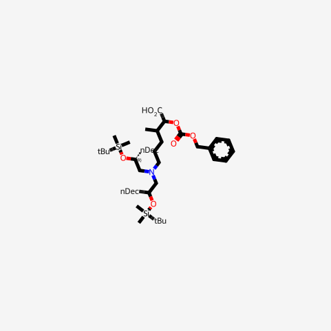 CCCCCCCCCCC(CN(CCCC(C)C(OC(=O)OCc1ccccc1)C(=O)O)C[C@@H](CCCCCCCCCC)O[Si](C)(C)C(C)(C)C)O[Si](C)(C)C(C)(C)C